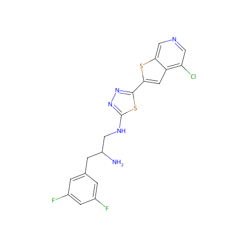 NC(CNc1nnc(-c2cc3c(Cl)cncc3s2)s1)Cc1cc(F)cc(F)c1